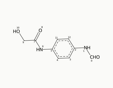 O=CNc1ccc(NC(=O)CO)cc1